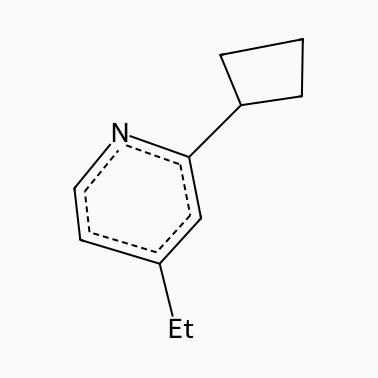 CCc1ccnc(C2CCC2)c1